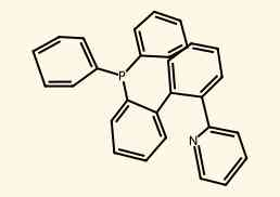 c1ccc(P(c2ccccc2)c2ccccc2-c2ccccc2-c2ccccn2)cc1